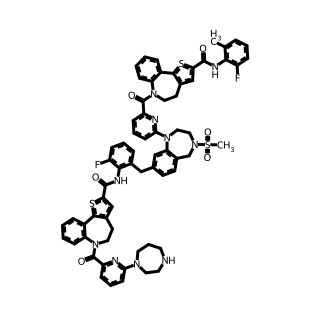 Cc1cccc(F)c1NC(=O)c1cc2c(s1)-c1ccccc1N(C(=O)c1cccc(N3CCN(S(C)(=O)=O)Cc4ccc(Cc5cccc(F)c5NC(=O)c5cc6c(s5)-c5ccccc5N(C(=O)c5cccc(N7CCCNCC7)n5)CC6)cc43)n1)CC2